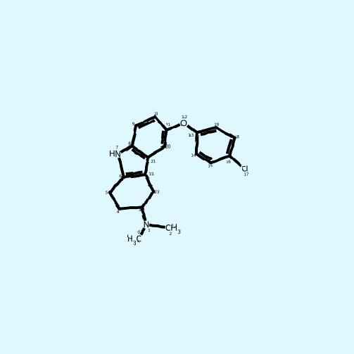 CN(C)C1CCc2[nH]c3ccc(Oc4ccc(Cl)cc4)cc3c2C1